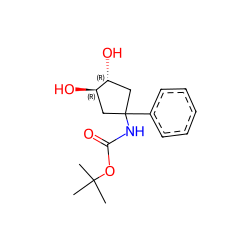 CC(C)(C)OC(=O)NC1(c2ccccc2)C[C@@H](O)[C@H](O)C1